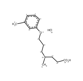 Cc1cccc(OCCCN(C)CCC(=O)O)c1.Cl